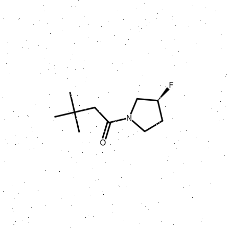 CC(C)(C)CC(=O)N1CC[C@H](F)C1